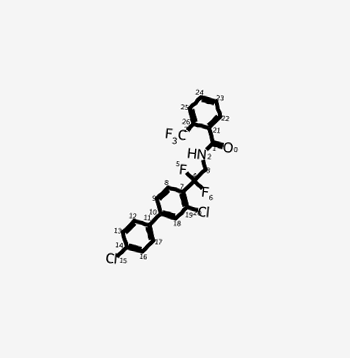 O=C(NCC(F)(F)c1ccc(-c2ccc(Cl)cc2)cc1Cl)c1ccccc1C(F)(F)F